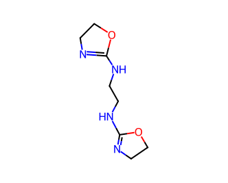 C1COC(NCCNC2=NCCO2)=N1